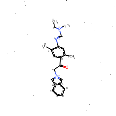 CCN(C)/C=N/c1cc(C)c(C(=O)Cn2cc3ccccc3c2)cc1C